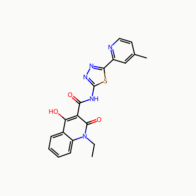 CCn1c(=O)c(C(=O)Nc2nnc(-c3cc(C)ccn3)s2)c(O)c2ccccc21